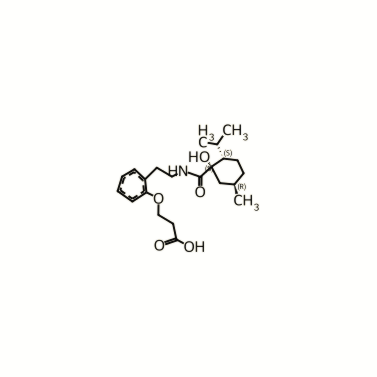 CC(C)[C@@H]1CC[C@@H](C)C[C@@]1(O)C(=O)NCCc1ccccc1OCCC(=O)O